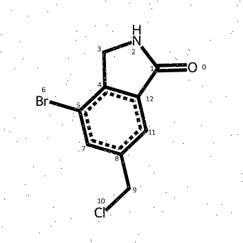 O=C1NCc2c(Br)cc(CCl)cc21